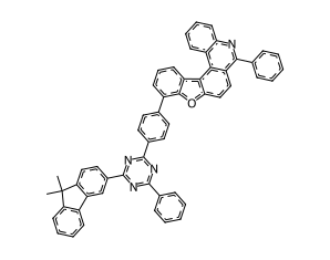 CC1(C)c2ccccc2-c2cc(-c3nc(-c4ccccc4)nc(-c4ccc(-c5cccc6c5oc5ccc7c(-c8ccccc8)nc8ccccc8c7c56)cc4)n3)ccc21